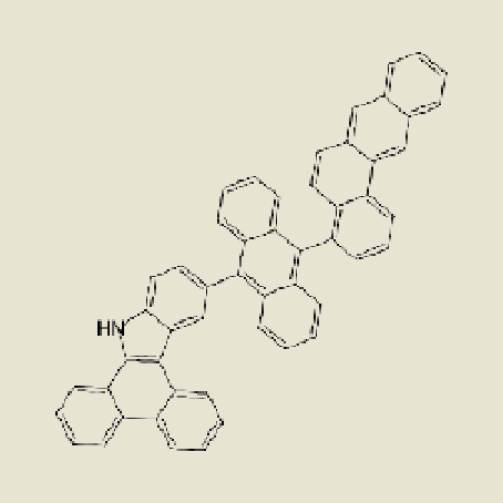 c1ccc2cc3c(ccc4c(-c5c6ccccc6c(-c6ccc7[nH]c8c9ccccc9c9ccccc9c8c7c6)c6ccccc56)cccc43)cc2c1